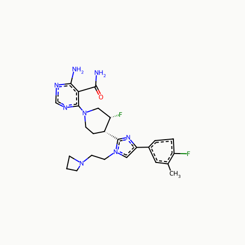 Cc1cc(-c2cn(CCN3CCC3)c([C@@H]3CCN(c4ncnc(N)c4C(N)=O)C[C@@H]3F)n2)ccc1F